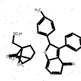 CC1(C)C2CCC1(CS(=O)(=O)O)C(=O)C2.Cc1ccc(C2OC3=CC=CC(=O)C3=C2c2ccccc2)cc1